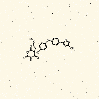 CCOCCC1(Oc2ccc(Oc3ccc(-c4nnc(C)o4)cc3)cc2)C(=O)NC(=O)NC1=O